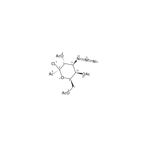 CC(=O)OC[C@H]1O[C@](Cl)(C(C)=O)[C@H](OC(C)=O)[C@@H](N=[N+]=[N-])[C@H]1OC(C)=O